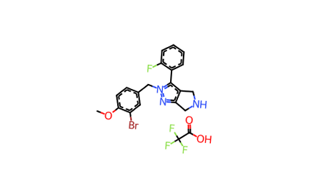 COc1ccc(Cn2nc3c(c2-c2ccccc2F)CNC3)cc1Br.O=C(O)C(F)(F)F